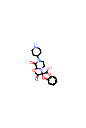 CC(=O)C(Oc1ccccc1)(C(=O)O)N1CCN(C2CCNCC2)C(=O)C1=O